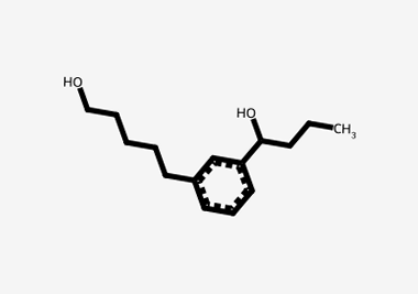 CCCC(O)c1cccc(CCCCCO)c1